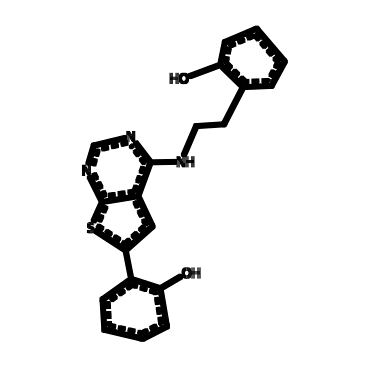 Oc1ccccc1CCNc1ncnc2sc(-c3ccccc3O)cc12